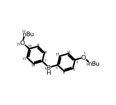 CCCCOc1ccc(Bc2ccc(OCCCC)cc2)cc1